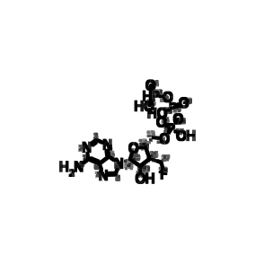 Nc1ncnc2c1ncn2[C@@H]1O[C@H](COP(=O)(O)OP(=O)(O)O[PH](=O)O)[C@@H](CF)[C@H]1O